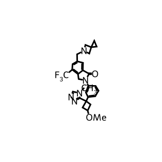 COC1CC(c2cccc(N3Cc4c(cc(CN5CC6(CC6)C5)cc4C(F)(F)F)C3=O)c2)(c2nncn2C)C1